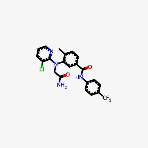 Cc1ccc(C(=O)Nc2ccc(C(F)(F)F)cc2)cc1N(CC(N)=O)c1ncccc1Cl